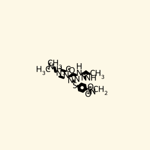 C=NS(=O)(=O)c1ccc(Sc2nc(Nc3cc(C)[nH]n3)c(OC)c(N3CCN(CCN(C)C)CC3)n2)cc1